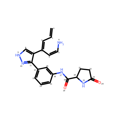 C=C/C=C(\C=C/N)c1c[nH]nc1-c1cccc(NC(=O)C2CCC(=O)N2)c1